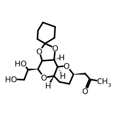 CC(=O)C[C@H]1CC[C@@H]2O[C@@H](C(O)CO)C3OC4(CCCCC4)O[C@H]3[C@H]2O1